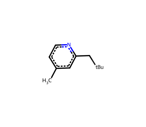 Cc1ccnc(CC(C)(C)C)c1